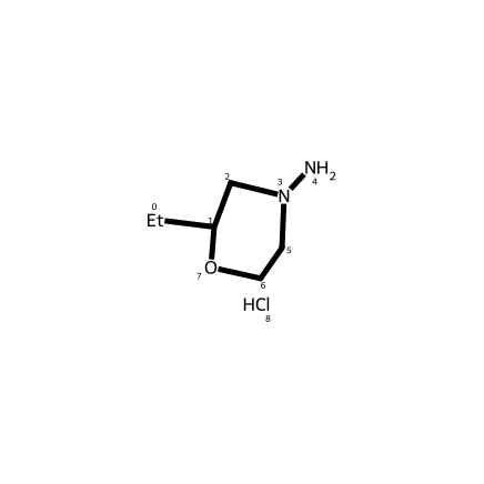 CCC1CN(N)CCO1.Cl